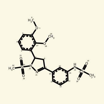 COc1cccc(C2CC(c3cccc(NS(C)(=O)=O)c3)=NN2S(C)(=O)=O)c1OC